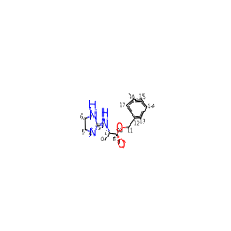 CC(NC1=NCCN1)C(=O)OCc1ccccc1